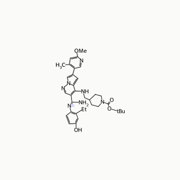 CCc1cc(O)ccc1/N=C(\N)c1cnn2cc(-c3cnc(OC)cc3C)cc2c1NCC1CCN(C(=O)OC(C)(C)C)CC1